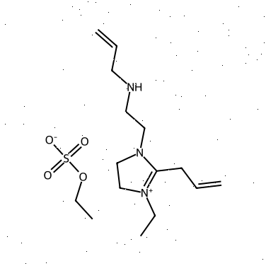 C=CCNCCN1CC[N+](CC)=C1CC=C.CCOS(=O)(=O)[O-]